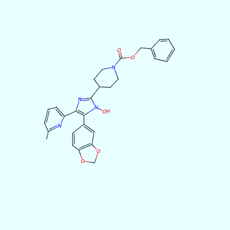 Cc1cccc(-c2nc(C3CCN(C(=O)OCc4ccccc4)CC3)n(O)c2-c2ccc3c(c2)OCO3)n1